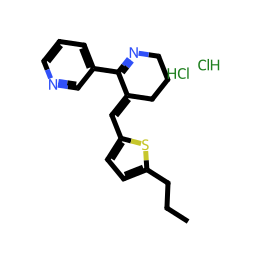 CCCc1ccc(C=C2CCCN=C2c2cccnc2)s1.Cl.Cl